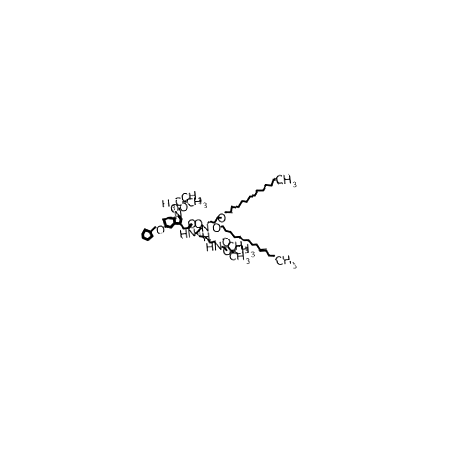 CCCCCCCCCCCCCCOCC(CNC(=O)[C@H](CCCCNC(=O)OC(C)(C)C)NC(=O)Cc1cn(C(=O)OC(C)(C)C)c2ccc(OCc3ccccc3)cc12)OCCCCCCCCCCCCCC